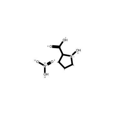 O=C(O)C1CCCN1O.O=[N+]([O-])O